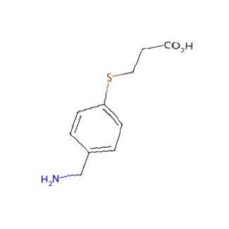 NCc1ccc(SCCC(=O)O)cc1